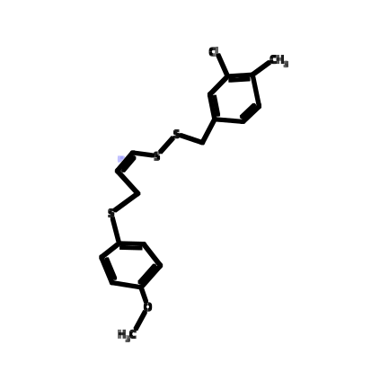 COc1ccc(SC/C=C\SSCc2ccc(C)c(Cl)c2)cc1